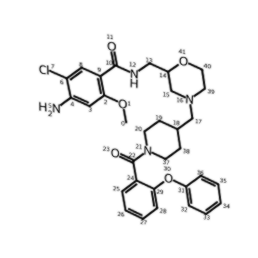 COc1cc(N)c(Cl)cc1C(=O)NCC1CN(CC2CCN(C(=O)c3ccccc3Oc3ccccc3)CC2)CCO1